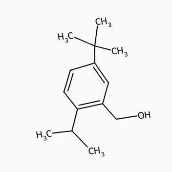 CC(C)c1ccc(C(C)(C)C)cc1CO